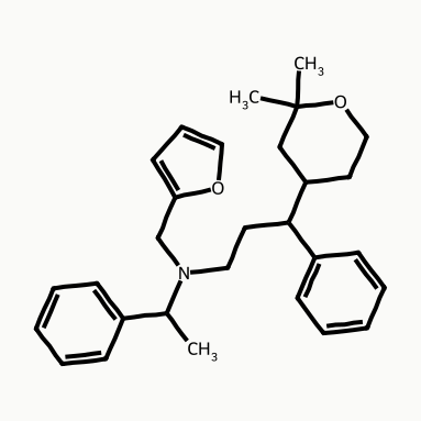 CC(c1ccccc1)N(CCC(c1ccccc1)C1CCOC(C)(C)C1)Cc1ccco1